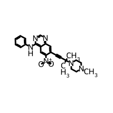 CN1CCN(C(C)(C)C#Cc2cc3ncnc(Nc4ccccc4)c3cc2[N+](=O)[O-])CC1